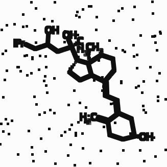 C=C1CC[C@H](O)C/C1=C/C=C1CCC[C@@]2(C)C1CC[C@@H]2[C@](C)(O)CC(O)CC(C)C